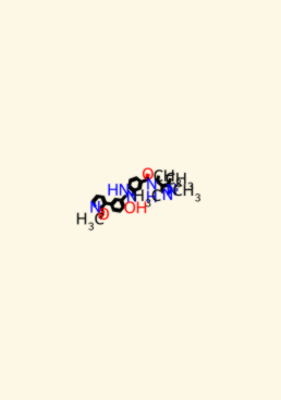 COc1ncccc1-c1ccc(O)c(-c2nc3cc(C(=O)NC(C)c4c(C)nn(C)c4C)ccc3[nH]2)c1